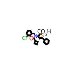 O=C(O)c1sc(-c2ccccc2)cc1N(Cc1cccc(Cl)c1)C(=O)C1CCC1